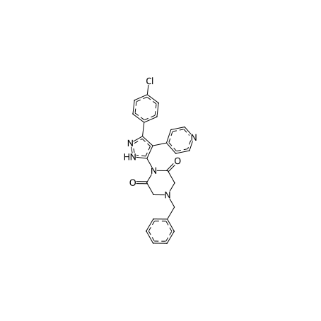 O=C1CN(Cc2ccccc2)CC(=O)N1c1[nH]nc(-c2ccc(Cl)cc2)c1-c1ccncc1